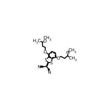 COC(C)CCOc1ccc(OCCC(C)OC)c2c1SC(=C(C#N)C#N)S2